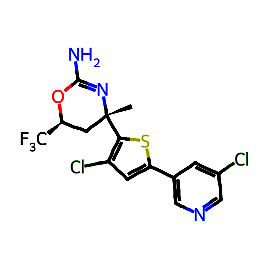 C[C@@]1(c2sc(-c3cncc(Cl)c3)cc2Cl)C[C@@H](C(F)(F)F)OC(N)=N1